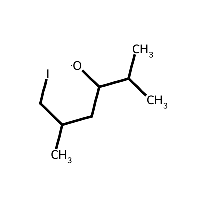 CC(CI)CC([O])C(C)C